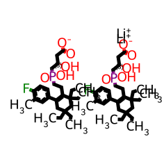 CCC1(CC)CC(c2ccc(F)c(C)c2)=C(CCP(=O)(O)C[C@@H](O)CC(=O)[O-])C(CC)(CC)C1.CCC1(CC)CC(c2ccc(F)c(C)c2)=C(CCP(=O)(O)C[C@@H](O)CC(=O)[O-])C(CC)(CC)C1.[Li+].[Li+]